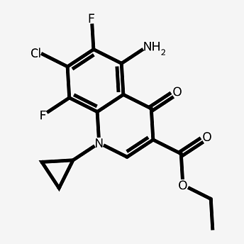 CCOC(=O)c1cn(C2CC2)c2c(F)c(Cl)c(F)c(N)c2c1=O